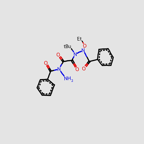 CCON(C(=O)c1ccccc1)N(C(=O)C(=O)N(N)C(=O)c1ccccc1)C(C)(C)C